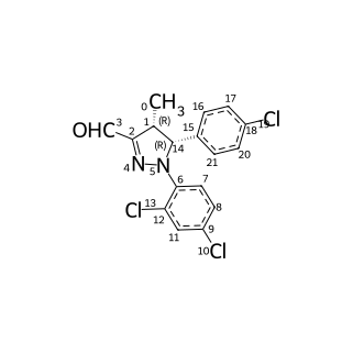 C[C@H]1C(C=O)=NN(c2ccc(Cl)cc2Cl)[C@H]1c1ccc(Cl)cc1